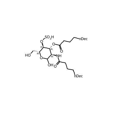 CCCCCCCCCCCCCC(=O)N[C@H]1C(O)O[C@H](CO)[C@@H](OS(=O)(=O)O)[C@@H]1OC(=O)CCCCCCCCCCCCC